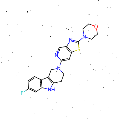 Fc1ccc2c3c([nH]c2c1)CCN(c1cc2sc(N4CCOCC4)nc2cn1)C3